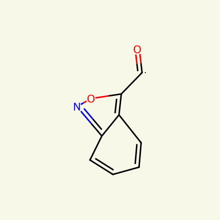 O=[C]c1onc2ccccc12